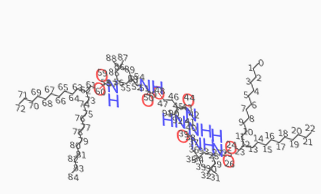 CCCCCCCCCCCCC(CCCCCCCCCC)COC(=O)NC1CC(C)(C)CC(C)(CNC(=O)Nc2nc(=O)c(CCOC(=O)NC[C@@]3(C)CC(NC(=O)OCC(CCCCCCCCCC)CCCCCCCCCCCC)CC(C)(C)C3)c(C)[nH]2)C1